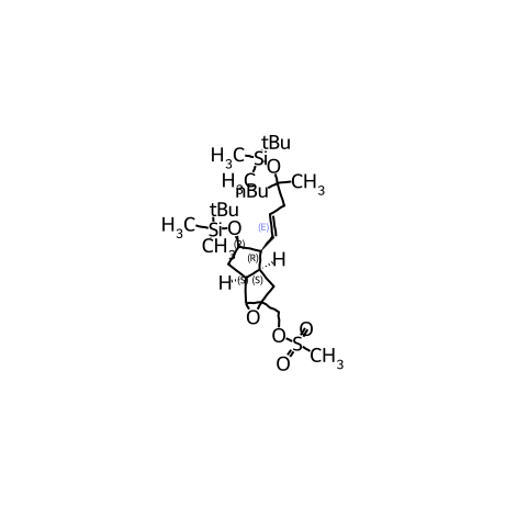 CCCCC(C)(C/C=C/[C@H]1[C@H]2CC3(COS(C)(=O)=O)OC3[C@H]2C[C@H]1O[Si](C)(C)C(C)(C)C)O[Si](C)(C)C(C)(C)C